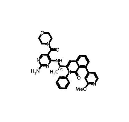 COc1cc(-c2cccc3cc([C@H](C)Nc4nc(N)ncc4C(=O)N4CCOCC4)n(-c4ccccc4)c(=O)c23)ccn1